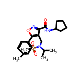 Cc1ccc(-c2onc(C(=O)NC3CCCC3)c2CN(C(C)C)S(C)(=O)=O)cc1